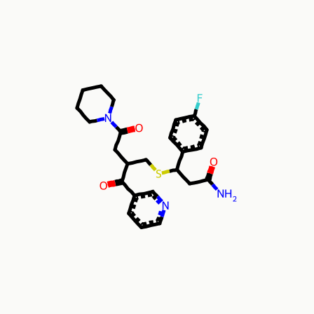 NC(=O)CC(SCC(CC(=O)N1CCCCC1)C(=O)c1cccnc1)c1ccc(F)cc1